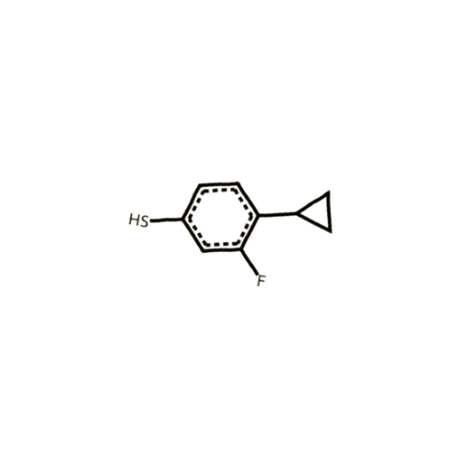 Fc1cc(S)ccc1C1CC1